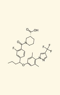 CCCC(Oc1cc(C)c(-n2cc(C(F)(F)F)cn2)c(C)c1)c1ccc(C(=O)N2CCC[C@@H](C(=O)O)C2)c(F)c1